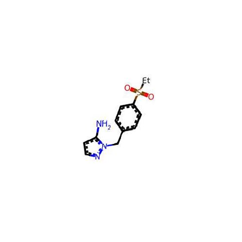 CCS(=O)(=O)c1ccc(Cn2nccc2N)cc1